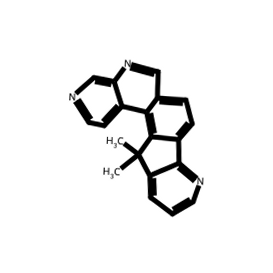 CC1(C)c2cccnc2-c2ccc3cnc4cnccc4c3c21